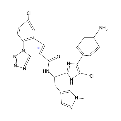 Cn1cc(CC(NC(=O)/C=C/c2cc(Cl)ccc2-n2cnnn2)c2nc(-c3ccc(N)cc3)c(Cl)[nH]2)cn1